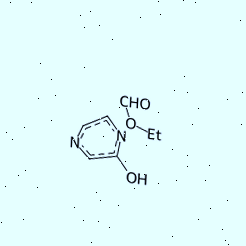 CCOC=O.Oc1cnccn1